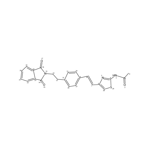 CC(=O)Nc1nc(C=Cc2ccc(CCN3C(=O)c4ccccc4C3=O)cc2)cs1